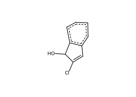 OC1C(Cl)=Cc2ccccc21